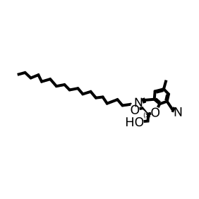 CCCCCCCCCCCCCCCCCCOC[C@H](CO)Oc1c(C#N)cc(C)cc1C#N